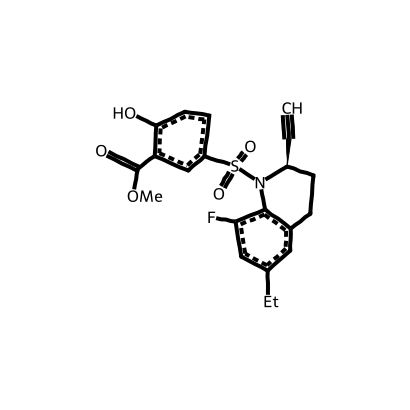 C#C[C@H]1CCc2cc(CC)cc(F)c2N1S(=O)(=O)c1ccc(O)c(C(=O)OC)c1